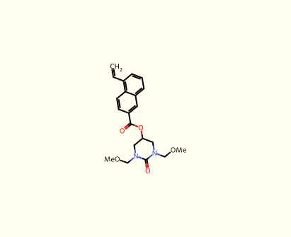 C=Cc1cccc2cc(C(=O)OC3CN(COC)C(=O)N(COC)C3)ccc12